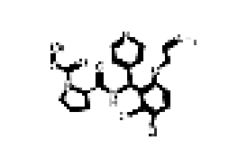 C=CCOc1ccc(Cl)c(Cl)c1C(NC(=O)[C@H]1CCCN1C(=O)OC(C)(C)C)c1ccncc1